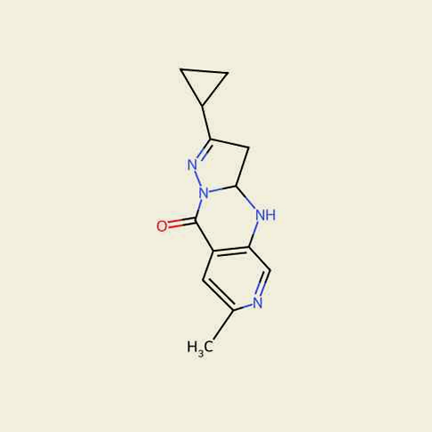 Cc1cc2c(cn1)NC1CC(C3CC3)=NN1C2=O